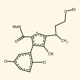 CCOCCN(C)c1sc(C(=O)NC)c(-c2cc(Cl)ccc2Cl)c1C#N